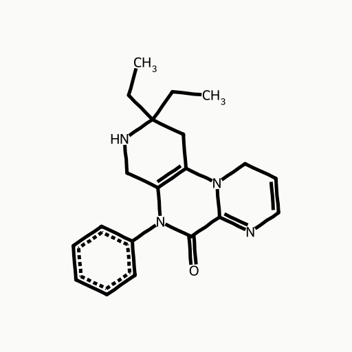 CCC1(CC)CC2=C(CN1)N(c1ccccc1)C(=O)C1=NC=CCN12